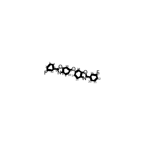 Fc1cccc(-c2nc3ccc(Oc4ccc5nc(-c6cccc(F)c6)oc5c4)cc3o2)c1